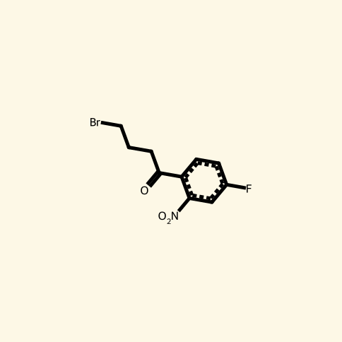 O=C(CCCBr)c1ccc(F)cc1[N+](=O)[O-]